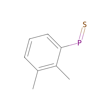 Cc1cccc(P=S)c1C